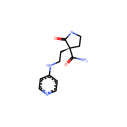 NC(=O)[C@@]1(CCNc2ccncc2)CC[N]C1=O